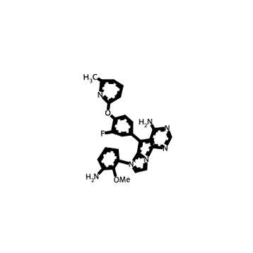 COc1c(N)cccc1-n1ccn2c3ncnc(N)c3c(-c3ccc(Oc4cccc(C)n4)c(F)c3)c12